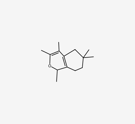 CC1=C(C)C2=C(CCC(C)(C)C2)C(C)O1